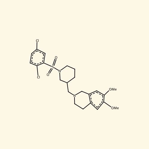 COc1cc2c(cc1OC)CN(CC1CCCN(S(=O)(=O)c3cc(Cl)ccc3Cl)C1)CC2